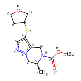 C[C@H]1Cn2ncc(SC3CCOC3)c2CN1C(=O)OC(C)(C)C